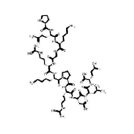 CC(C)C[C@H](NC(=O)[C@H](CC(=O)O)NC(=O)[C@H](CCCNC(=N)N)NC(=O)[C@@H]1CCCN1C(=O)[C@H](CCCCN)NC(=O)[C@H](CCCNC(=N)N)NC(=O)CNC(=O)[C@H](CCCCN)NC(=O)[C@H](CCC(N)=O)NC(=O)[C@@H]1CCCN1)C(=O)N[C@@H](CCC(=O)O)C(=O)O